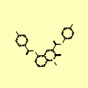 Cn1c(=O)c(C(=O)Nc2ccc(Cl)cc2)cc2c(NC(=O)c3ccc(Br)cc3)cccc21